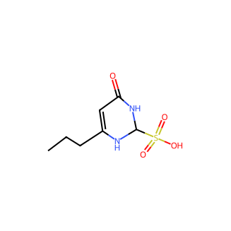 CCCC1=CC(=O)NC(S(=O)(=O)O)N1